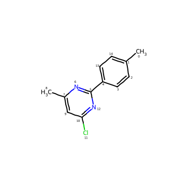 Cc1ccc(-c2nc(C)cc(Cl)n2)cc1